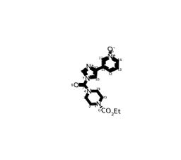 CCOC(=O)N1CCN(C(=O)n2cnc(-c3ccc[n+]([O-])c3)c2)CC1